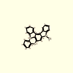 CCn1c2ccccc2c2c3c4ccccc4n4c3c(cc21)Sc1ccccc1-4